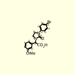 COc1cccc(C(C(=O)O)N2CCN(c3ccc(Br)cc3)C2=O)c1